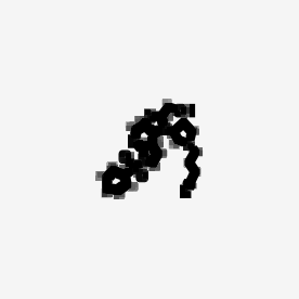 N#CCCCN1CCC(n2c(CO)nc3cnc4c(ccn4S(=O)(=O)c4ccccc4)c32)C1